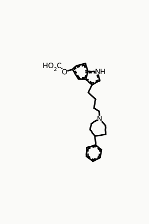 O=C(O)Oc1ccc2[nH]cc(CCCCN3CCC(c4ccccc4)CC3)c2c1